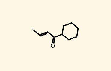 O=C(/C=C/I)C1CCCCC1